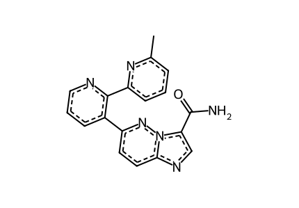 Cc1cccc(-c2ncccc2-c2ccc3ncc(C(N)=O)n3n2)n1